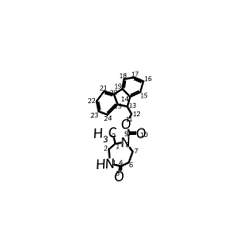 CC1CNC(=O)CCN1C(=O)OCC1c2ccccc2-c2ccccc21